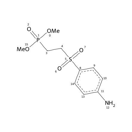 COP(=O)(CCS(=O)(=O)c1ccc(N)cc1)OC